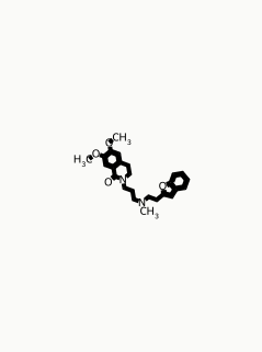 COc1cc2c(cc1OC)C(=O)N(CCCN(C)CCc1cc3ccccc3o1)CC2